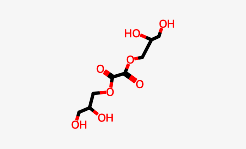 O=C(OCC(O)CO)C(=O)OCC(O)CO